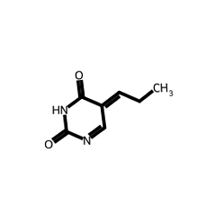 CCC=C1C=NC(=O)NC1=O